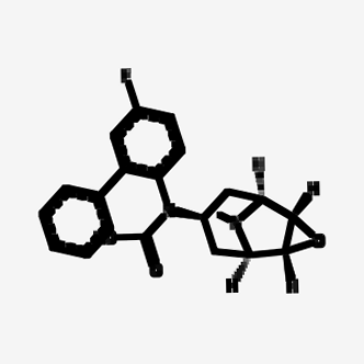 CN1[C@@H]2C[C@@H](N(C(=O)O)c3ccc(F)cc3-c3ccccc3)C[C@H]1[C@@H]1O[C@@H]12